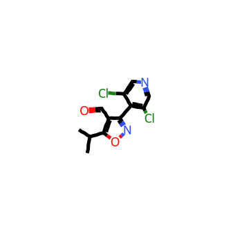 CC(C)c1onc(-c2c(Cl)cncc2Cl)c1C=O